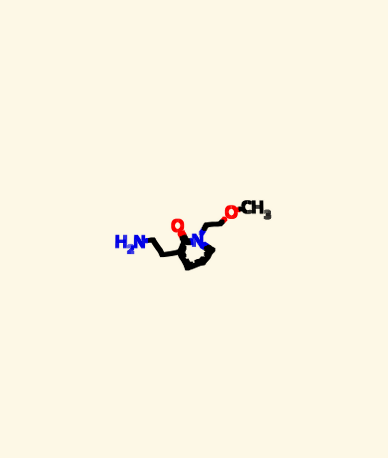 COCCn1cccc(CCN)c1=O